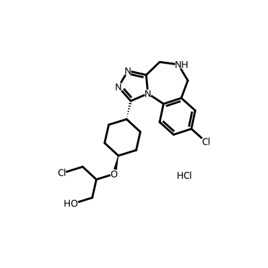 Cl.OCC(CCl)O[C@H]1CC[C@H](c2nnc3n2-c2ccc(Cl)cc2CNC3)CC1